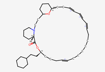 O=C1O[C@H](CCC2CCCCC2)CCC/C=C/CCCCCC/C=C/C=C/C=C/CC[C@@H]2CCCC(CCN3CCCC[C@@H]13)O2